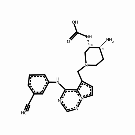 C#Cc1cccc(Nc2ncnn3ccc(CN4CC[C@@H](N)[C@@H](NC(=O)O)C4)c23)c1